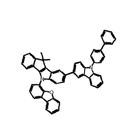 CC1(C)c2ccccc2-c2c1c1cc(-c3ccc4c(c3)c3ccccc3n4-c3ccc(-c4ccccc4)cc3)ccc1n2-c1cccc2c1oc1ccccc12